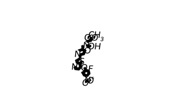 CS(=O)(=O)CCN(Cc1ccc(-c2cc3nccc(Oc4ccc([N+](=O)[O-])cc4F)c3s2)nc1)C(=O)O